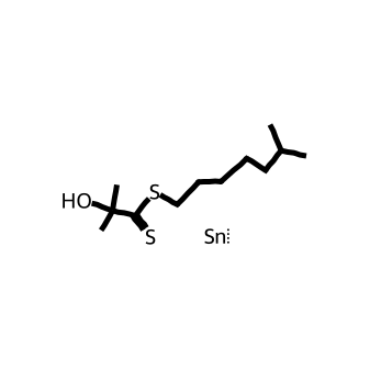 CC(C)CCCCCSC(=S)C(C)(C)O.[Sn]